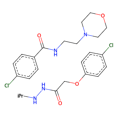 CC(C)NNC(=O)COc1ccc(Cl)cc1.O=C(NCCN1CCOCC1)c1ccc(Cl)cc1